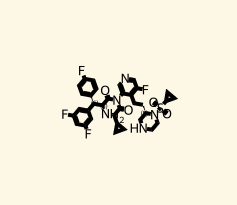 N[C@H](C(=O)N(C(=O)CC1CC1)c1cncc(F)c1CC[C@H]1CNCCN1S(=O)(=O)C1CC1)[C@@H](c1ccc(F)cc1)c1cc(F)cc(F)c1